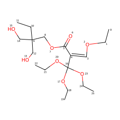 CCOC=C(C(=O)OCC(CC)(CO)CO)C(OCC)(OCC)OCC